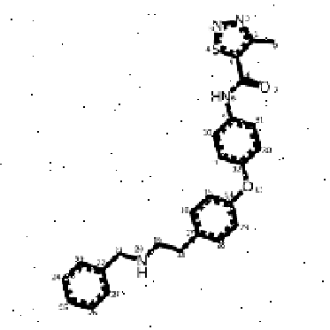 Cc1nnsc1C(=O)Nc1ccc(Oc2ccc(CCNCc3ccccc3)cc2)cc1